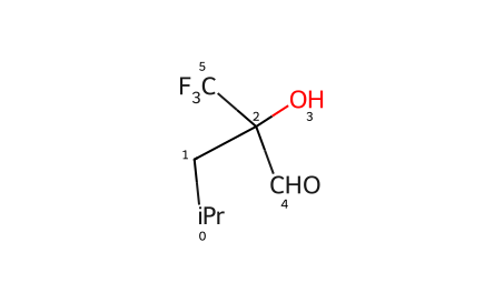 CC(C)CC(O)(C=O)C(F)(F)F